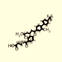 Cc1cc(C(CCCC(C)C)Oc2ccc(C(=O)NCCC(=O)O)cc2)ccc1-c1ccc(C(F)(F)F)cc1